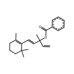 C=CC(C)(C=CC1=C(C)CCCC1(C)C)OC(=O)c1ccccc1